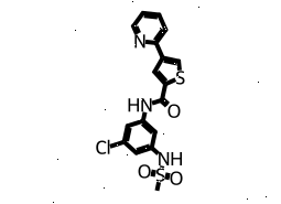 CS(=O)(=O)Nc1cc(Cl)cc(NC(=O)c2cc(-c3ccccn3)cs2)c1